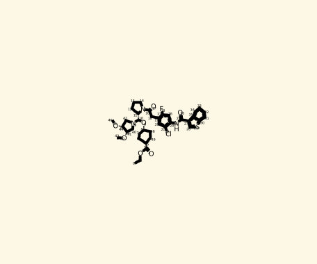 CCOC(=O)[C@H]1CC[C@H](OC([C@@H]2CCCN2C(=O)Cc2cc(Cl)c(NC(=O)c3csc4ccccc34)cc2F)N2C[C@H](OC)[C@H](OC)C2)CC1